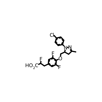 CC1=NN(c2ccc(Cl)cc2)C(COc2c(F)cc(CC(F)C(=O)O)cc2F)C1